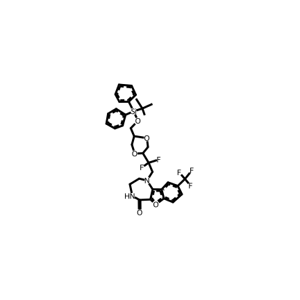 CC(C)(C)[Si](OCC1COC(C(F)(F)CN2CCNC(=O)c3oc4ccc(C(F)(F)F)cc4c32)CO1)(c1ccccc1)c1ccccc1